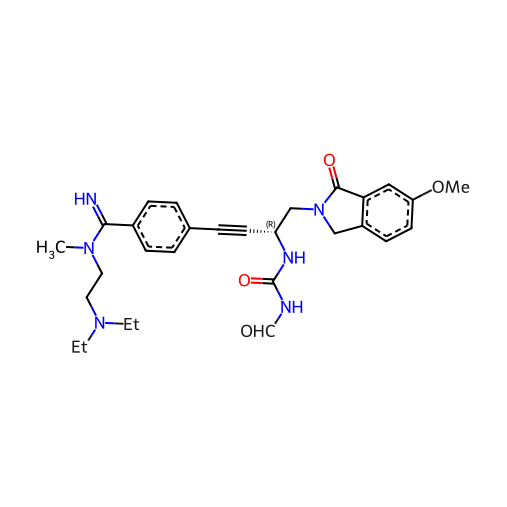 CCN(CC)CCN(C)C(=N)c1ccc(C#C[C@H](CN2Cc3ccc(OC)cc3C2=O)NC(=O)NC=O)cc1